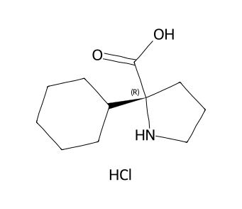 Cl.O=C(O)[C@]1(C2CCCCC2)CCCN1